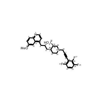 COc1ccc2nccc(CCC[C@@H]3CCN(CC#Cc4c(F)ccc(F)c4F)C[C@@H]3C(=O)O)c2c1